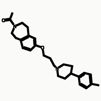 CC(=O)N1CCc2ccc(OCCCN3CCC(c4ccc(C)cc4)CC3)cc2CC1